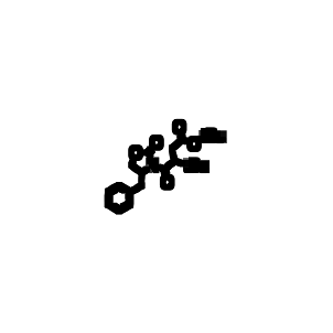 CC(C)(C)OC(=O)CC(C(=O)N1C(=O)OCC1Cc1ccccc1)C(C)(C)C